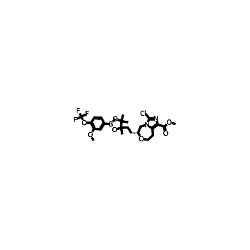 COC(=O)c1nc(Cl)n2c1CCO[C@H](CCC1(C)OB(c3ccc(OC(F)(F)F)c(OC)c3)OC1(C)C)C2